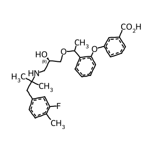 Cc1ccc(CC(C)(C)NC[C@@H](O)COC(C)c2ccccc2Oc2cccc(C(=O)O)c2)cc1F